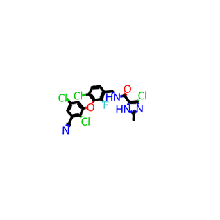 Cc1nc(Cl)c(C(=O)NCc2ccc(Cl)c(Oc3cc(Cl)cc(C#N)c3Cl)c2F)[nH]1